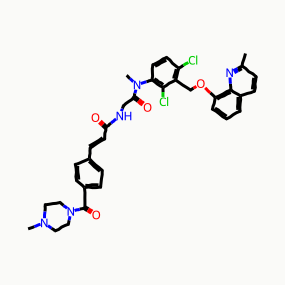 Cc1ccc2cccc(OCc3c(Cl)ccc(N(C)C(=O)CNC(=O)C=Cc4ccc(C(=O)N5CCN(C)CC5)cc4)c3Cl)c2n1